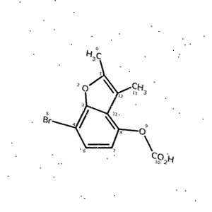 Cc1oc2c(Br)ccc(OC(=O)O)c2c1C